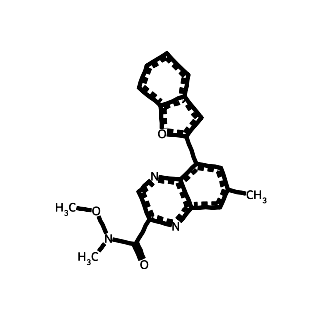 CON(C)C(=O)c1cnc2c(-c3cc4ccccc4o3)cc(C)cc2n1